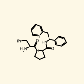 CC(C)C[C@H](N)C(=O)N1CCCC1C(=O)N[C@@H](Cc1ccccn1)c1ccccc1